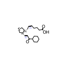 O=C(O)CCC/C=C\C[C@H]1CSC[C@H]1/C=C/C(=O)C1CCCCC1